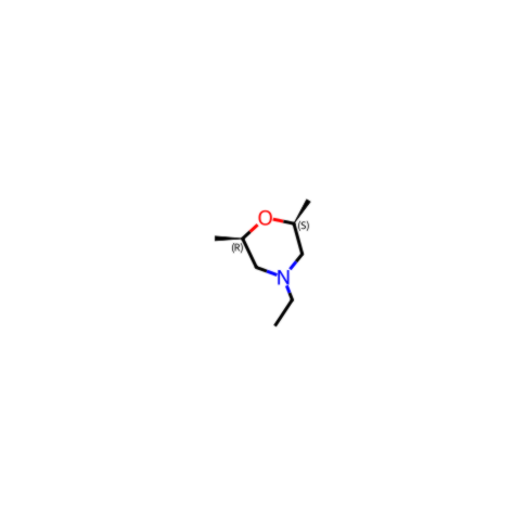 CCN1C[C@@H](C)O[C@@H](C)C1